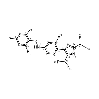 Cc1cc(C)c(CNc2ccc(-c3cn(C(F)F)nc3C(F)F)c(F)c2)c(F)c1